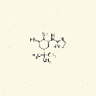 CC(C)(C)C1CC(=N)C(=N)C(NC2=NCCN2)C1